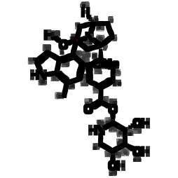 CCO[C@H]1C[C@H]2CC[C@@](c3ccc(C(=O)O[C@@H]4NC[C@H](O)[C@H](O)[C@H]4O)cc3)(C1)N2Cc1c(OC)cc(C)c2[nH]ccc12